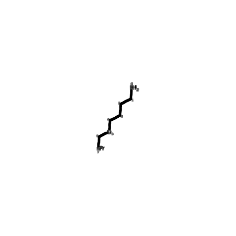 BCCCCOCCCC